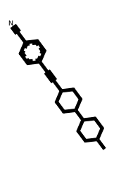 CC1CCC(C2CCC(C#Cc3ccc(C#N)cc3)CC2)CC1